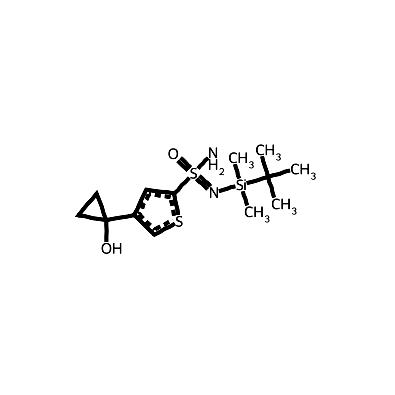 CC(C)(C)[Si](C)(C)N=S(N)(=O)c1cc(C2(O)CC2)cs1